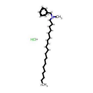 CCCCCCCCCCCCCCCCCCCCN(C)Cc1ccccc1.Cl